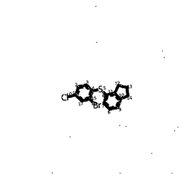 Clc1ccc(Sc2cccc3c2CCC3)c(Br)c1